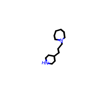 C1CCCN(CCCC2CCNCC2)CC1